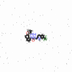 CN1c2cc(C(F)(F)F)ccc2CCC1CNC(=O)Nc1cccc2c1CC(O[Si](C)(C)C(C)(C)C)CC2